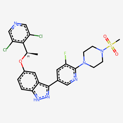 C[C@@H](Oc1ccc2[nH]nc(-c3cnc(N4CCN(S(C)(=O)=O)CC4)c(F)c3)c2c1)c1c(Cl)cncc1Cl